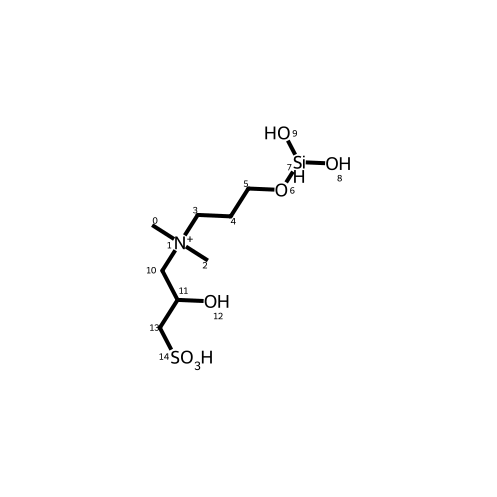 C[N+](C)(CCCO[SiH](O)O)CC(O)CS(=O)(=O)O